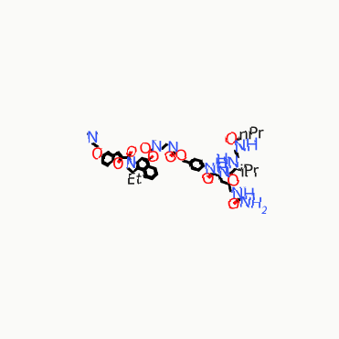 CCCC(=O)NCCN[C@H](C(=O)NC(CCCNC(N)=O)C(=O)Nc1ccc(COC(=O)N(C)CCN(C)C(=O)Oc2cc3c(c4ccccc24)[C@H](CC)CN3C(=O)c2cc3cc(OCCN(C)C)ccc3o2)cc1)C(C)C